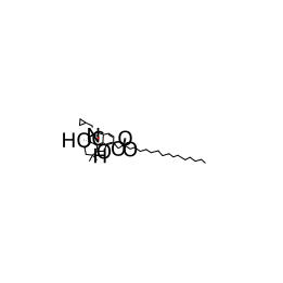 CCCCCCCCCCCCCCOC(=O)OC1=C2O[C@H]3C(C)(C)CC[C@@]4(O)C5CC(C=C1)C2[C@@]34CCN5CC1CC1